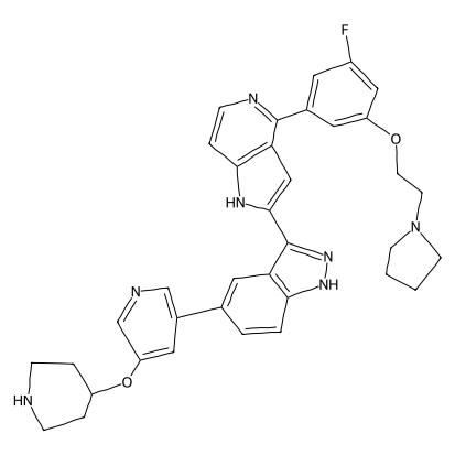 Fc1cc(OCCN2CCCC2)cc(-c2nccc3[nH]c(-c4n[nH]c5ccc(-c6cncc(OC7CCNCC7)c6)cc45)cc23)c1